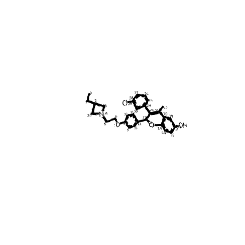 CCC1CN(CCOc2ccc(C3Oc4ccc(O)cc4C(C)=C3c3cccc(Cl)c3)cc2)C1